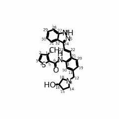 Cc1ccsc1C(=O)Nc1cc(CN2CCC(O)C2)ccc1/C=C/c1n[nH]c2ccccc12